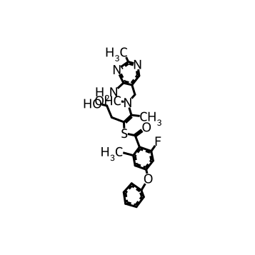 CC(=C(CCO)SC(=O)c1c(C)cc(Oc2ccccc2)cc1F)N(C=O)Cc1cnc(C)nc1N